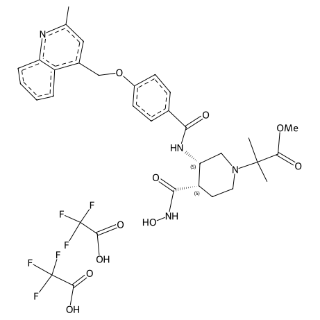 COC(=O)C(C)(C)N1CC[C@H](C(=O)NO)[C@H](NC(=O)c2ccc(OCc3cc(C)nc4ccccc34)cc2)C1.O=C(O)C(F)(F)F.O=C(O)C(F)(F)F